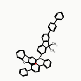 CC1(C)c2cc(-c3ccc(-c4ccccc4)cc3)ccc2-c2ccc(N(c3ccc4oc5ccccc5c4c3)c3ccccc3-c3ccc(-c4ccccc4)cc3)cc21